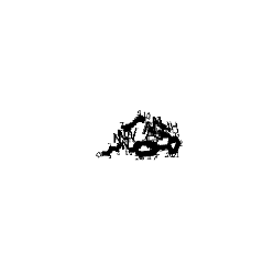 CCCCc1nn2cc(CC)nc2n1Cc1ccc(-c2ccccc2-c2nnn[nH]2)cc1